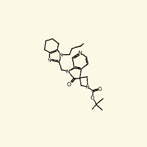 CCCCn1c(CN2C(=O)C3(CN(C(=O)OC(C)(C)C)C3)c3ccncc32)nc2c1CCCC2